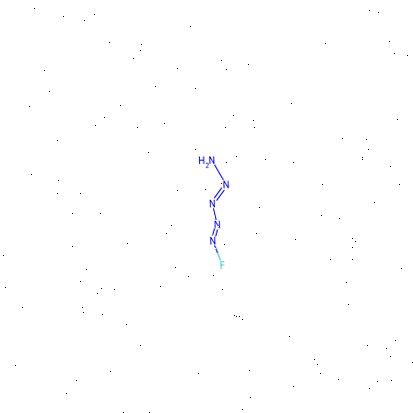 NN=NN=NF